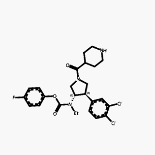 CCN(C(=O)Oc1ccc(F)cc1)[C@@H]1CN(C(=O)C2CCNCC2)C[C@H]1c1ccc(Cl)c(Cl)c1